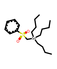 CCC[CH2][Sn]([CH2]CCC)([CH2]CCC)[CH2]S(=O)(=O)c1ccccc1